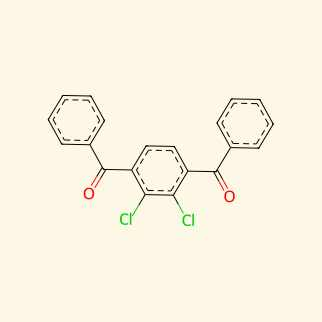 O=C(c1ccccc1)c1ccc(C(=O)c2ccccc2)c(Cl)c1Cl